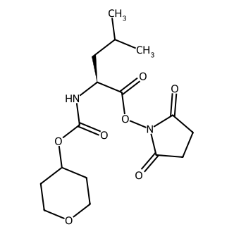 CC(C)C[C@H](NC(=O)OC1CCOCC1)C(=O)ON1C(=O)CCC1=O